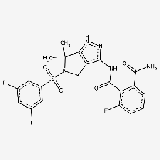 CC1(C)c2[nH]nc(NC(=O)c3c(F)cccc3C(N)=O)c2CN1S(=O)(=O)c1cc(F)cc(F)c1